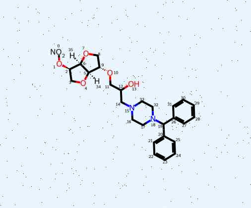 O=[N+]([O-])O[C@@H]1CO[C@H]2[C@@H]1OC[C@@H]2OCC(O)CN1CCN(C(c2ccccc2)c2ccccc2)CC1